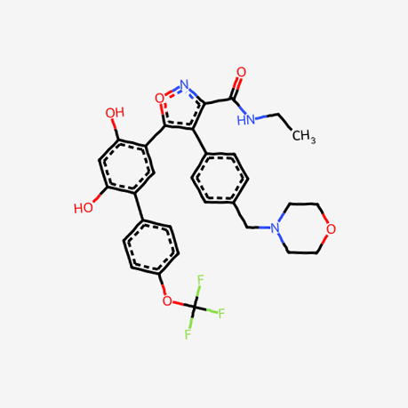 CCNC(=O)c1noc(-c2cc(-c3ccc(OC(F)(F)F)cc3)c(O)cc2O)c1-c1ccc(CN2CCOCC2)cc1